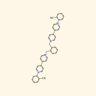 N#Cc1ccccc1-[n+]1ccc(-c2cc[n+](Cc3ccccc3C[n+]3ccc(-c4cc[n+](-c5ccccc5C#N)cc4)cc3)cc2)cc1